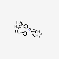 C=CC(/C=C/c1ccc(N(C)C)cc1)OC.Cc1ccccc1